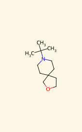 CC(C)(C)N1CCC2(CCOC2)CC1